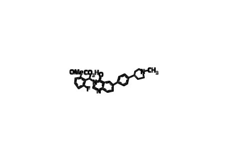 COc1cccc(F)c1C(C(=O)O)n1cnc2ccc(-c3ccc(C4CCN(C)CC4)cc3)cc2c1=O